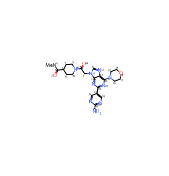 CNC(=O)C1CCN(C(=O)Cn2cnc3c(N4CCOCC4)nc(-c4cnc(N)nc4)nc32)CC1